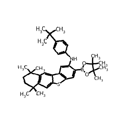 CC(C)(C)c1ccc(Nc2cc3c(cc2B2OC(C)(C)C(C)(C)O2)sc2cc4c(cc23)C(C)(C)CCC4(C)C)cc1